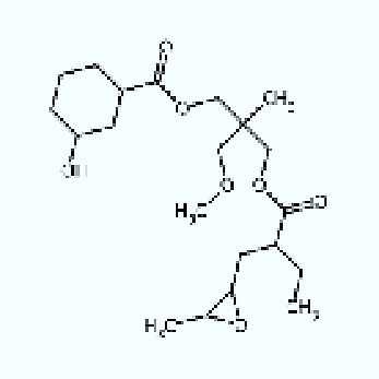 CCC(CC1OC1C)C(=O)OCC(C)(COC)COC(=O)C1CCCC(O)C1